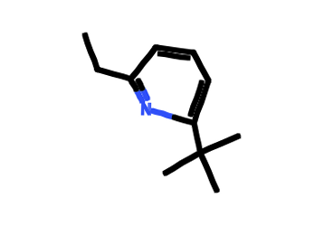 CCc1cccc(C(C)(C)C)n1